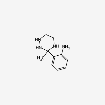 CC1(c2ccccc2N)NCCNN1